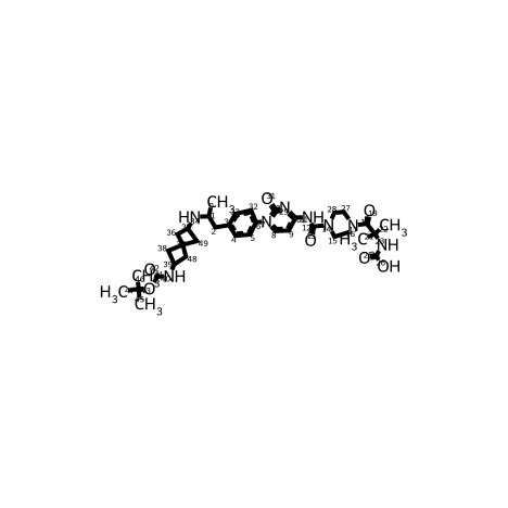 CC(Cc1ccc(-n2ccc(NC(=O)N3CCN(C(=O)C(C)(C)NC(=O)O)CC3)nc2=O)cc1)NC1CC2(CC(NC(=O)OC(C)(C)C)C2)C1